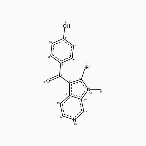 CC(C)c1c(C(=O)c2ccc(O)cc2)c2ccncc2n1C